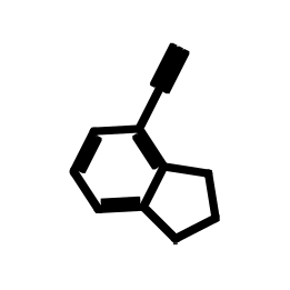 C#Cc1cccc2c1CC[CH]2